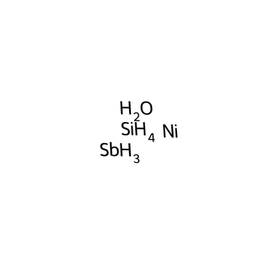 O.[Ni].[SbH3].[SiH4]